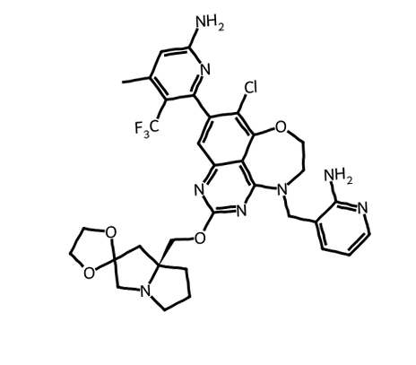 Cc1cc(N)nc(-c2cc3nc(OC[C@@]45CCCN4CC4(C5)OCCO4)nc4c3c(c2Cl)OCCN4Cc2cccnc2N)c1C(F)(F)F